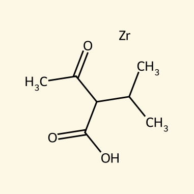 CC(=O)C(C(=O)O)C(C)C.[Zr]